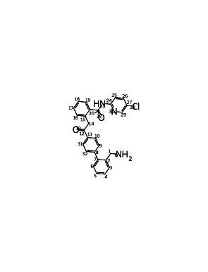 NCc1ccccc1-c1ccc(C(=O)Cc2ccccc2C(=O)Nc2ccc(Cl)cn2)cc1